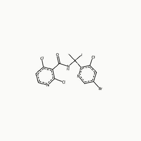 CC(I)(NC(=O)c1c(Cl)ccnc1Cl)c1ncc(Br)cc1Cl